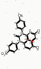 N#Cc1ccc(N(C(=S)N(c2ccc([N+](=O)[O-])cc2)c2ccc(Cl)cn2)c2cccc(Cl)n2)cc1